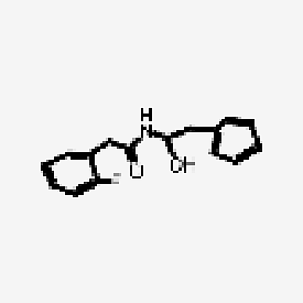 O=C(Cc1ccccc1F)NC(O)Cc1ccccc1